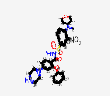 CN(c1ccc(S(=O)(=O)NC(=O)c2ccc(N3CCNCC3)cc2Oc2ccccc2)cc1[N+](=O)[O-])C1CCOCC1